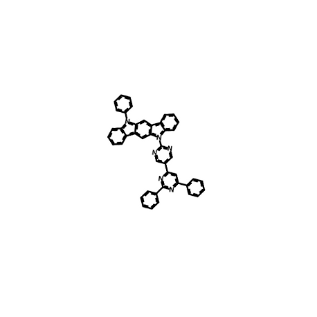 c1ccc(-c2cc(-c3cnc(-n4c5ccccc5c5cc6c(cc54)c4ccccc4n6-c4ccccc4)nc3)nc(-c3ccccc3)n2)cc1